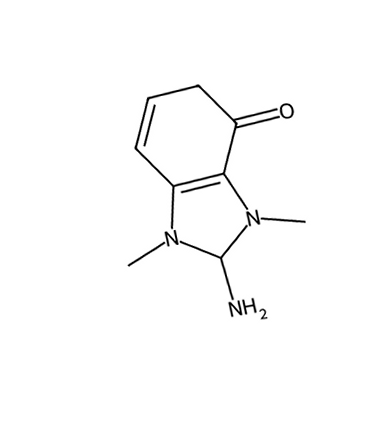 CN1C2=C(C(=O)CC=C2)N(C)C1N